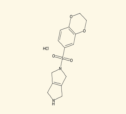 Cl.O=S(=O)(c1ccc2c(c1)OCCO2)N1CC2=C(CNC2)C1